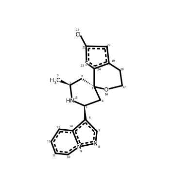 C[C@H]1C[C@@]2(C[C@@H](c3cnn4ccccc34)N1)OCCc1cc(Cl)sc12